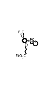 CCOC(=O)CCCCOc1ccc(OCC(F)(F)F)cc1N(CC1CCCCN1)C(C)=O